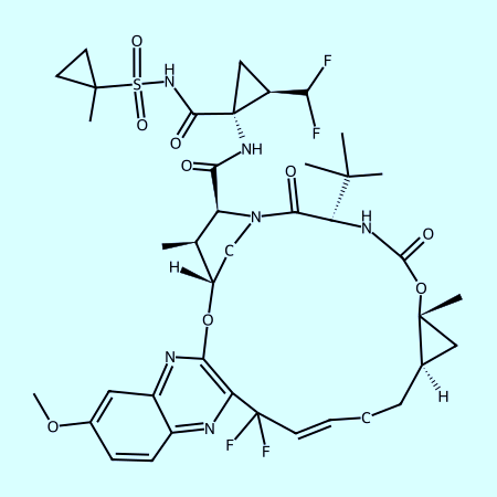 COc1ccc2nc3c(nc2c1)O[C@H]1CN(C(=O)[C@H](C(C)(C)C)NC(=O)O[C@]2(C)C[C@H]2CC/C=C/C3(F)F)[C@H](C(=O)N[C@]2(C(=O)NS(=O)(=O)C3(C)CC3)C[C@H]2C(F)F)[C@@H]1C